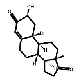 CC[C@]12C[C@H](O)C(=O)C=C1CC[C@@H]1[C@@H]2CC[C@]2(C)C(=O)CC[C@@H]12